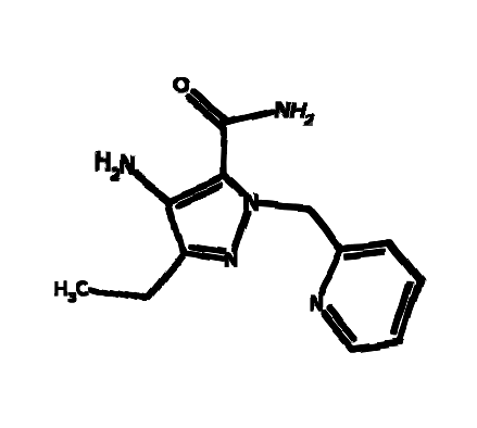 CCc1nn(Cc2ccccn2)c(C(N)=O)c1N